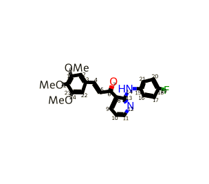 COc1cc(C=CC(=O)c2cccnc2Nc2ccc(F)cc2)cc(OC)c1OC